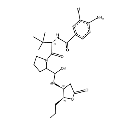 CCC[C@@H]1OC(=O)C[C@@H]1NC(O)C1CCCN1C(=O)[C@@H](NC(=O)c1ccc(N)c(Cl)c1)C(C)(C)C